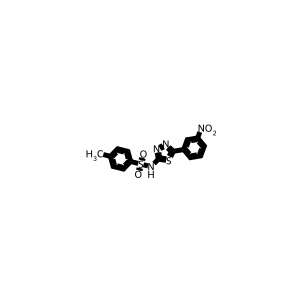 Cc1ccc(S(=O)(=O)Nc2nnc(-c3cccc([N+](=O)[O-])c3)s2)cc1